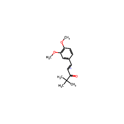 COc1ccc(/C=C/C(=O)C(C)(C)C)cc1OC